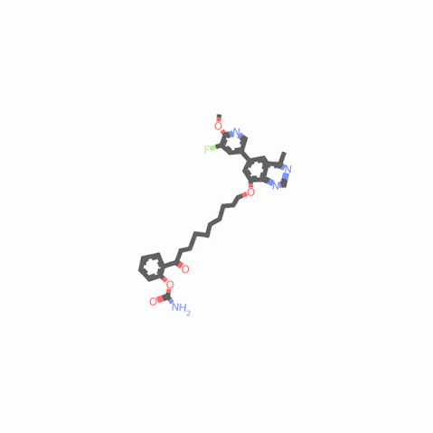 COc1ncc(-c2cc(OCCCCCCCCCC(=O)c3ccccc3OC(N)=O)c3ncnc(C)c3c2)cc1F